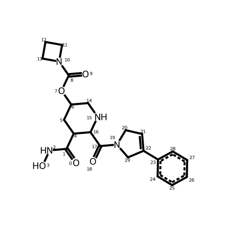 O=C(NO)C1CC(OC(=O)N2CCC2)CNC1C(=O)N1CC=C(c2ccccc2)C1